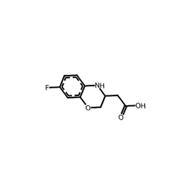 O=C(O)CC1COc2cc(F)ccc2N1